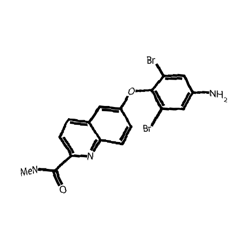 CNC(=O)c1ccc2cc(Oc3c(Br)cc(N)cc3Br)ccc2n1